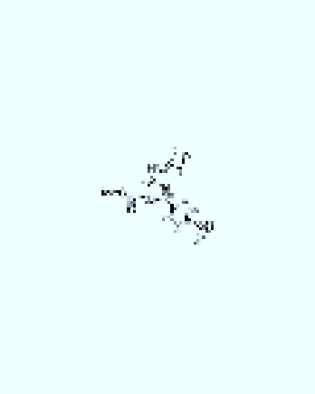 COC(=O)c1cc(NC2COC2)nc(N2CCN(C(=O)C(C)C)CC2)n1